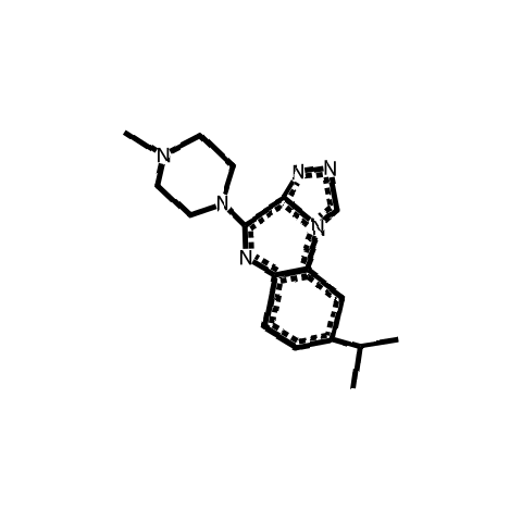 CC(C)c1ccc2nc(N3CCN(C)CC3)c3nncn3c2c1